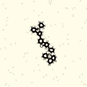 c1ccc(N(c2cccc(-c3ccc4c(c3)oc3ccc(-c5ccc6c(c5)c5ccccc5n6-c5ccccc5)cc34)c2)c2cccc3ccccc23)cc1